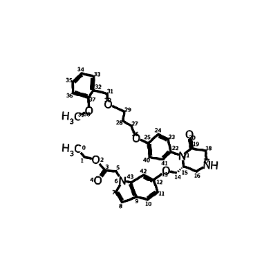 CCOC(=O)Cn1ccc2ccc(OC[C@H]3CNCC(=O)N3c3ccc(OCCCOCc4ccccc4OC)cc3)cc21